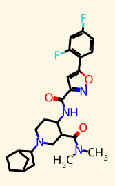 CN(C)C(=O)C1CN(C2CC3CCC2C3)CCC1NC(=O)c1cc(-c2ccc(F)cc2F)on1